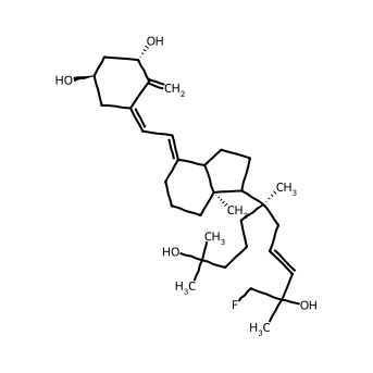 C=C1/C(=C\C=C2/CCC[C@@]3(C)C2CCC3[C@@](C)(C/C=C/C(C)(O)CF)CCCC(C)(C)O)C[C@@H](O)C[C@@H]1O